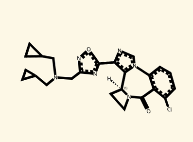 O=C1c2c(Cl)cccc2-n2cnc(-c3nc(CN(CC4CC4)CC4CC4)no3)c2[C@@H]2CCN12